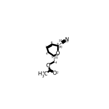 CC(=O)OC[C@@H]1CC=C[C@H](C#N)O1